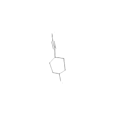 CC(C)(C)C#CC1CCC(O)CC1